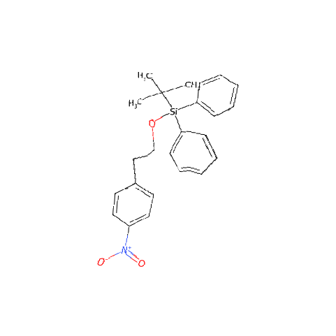 CC(C)(C)[Si](OCCc1ccc([N+](=O)[O-])cc1)(c1ccccc1)c1ccccc1